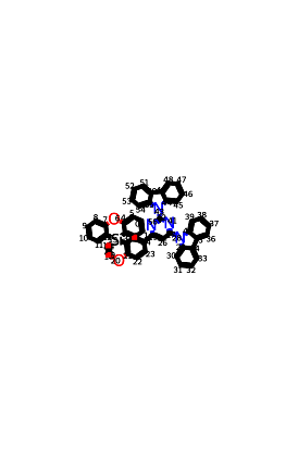 c1ccc2c(c1)Oc1ccccc1[Si]21c2ccccc2Oc2ccc(-c3cc(-n4c5ccccc5c5ccccc54)nc(-n4c5ccccc5c5ccccc54)n3)cc21